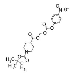 CC(C)(C)OC(=O)N1CCC(C(=O)OCOC(=O)Oc2ccc([N+](=O)[O-])cc2)CC1